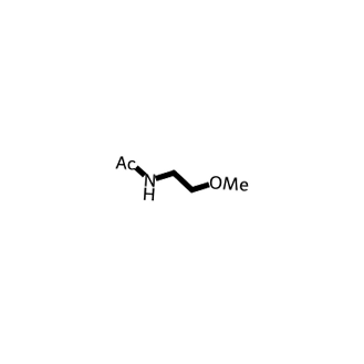 COCCNC(C)=O